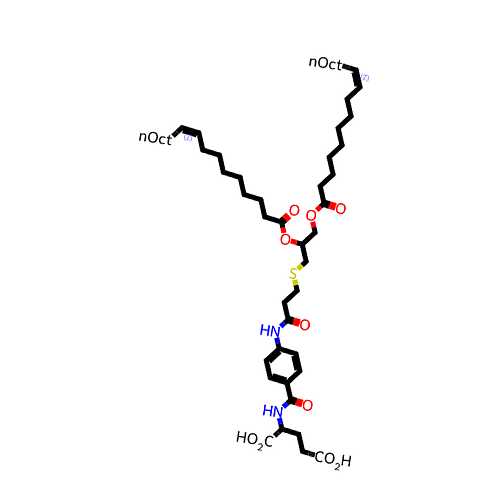 CCCCCCCC/C=C\CCCCCCCC(=O)OCC(CSCCC(=O)Nc1ccc(C(=O)NC(CCC(=O)O)C(=O)O)cc1)OC(=O)CCCCCCC/C=C\CCCCCCCC